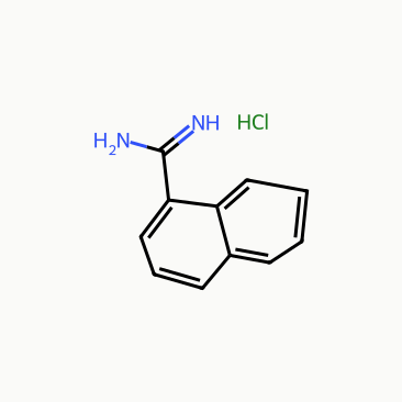 Cl.N=C(N)c1cccc2ccccc12